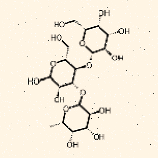 C[C@@H]1OC(O[C@H]2[C@H](O[C@@H]3O[C@H](CO)[C@H](O)[C@H](O)[C@H]3O)[C@@H](CO)OC(O)[C@@H]2O)[C@@H](O)[C@H](O)[C@@H]1O